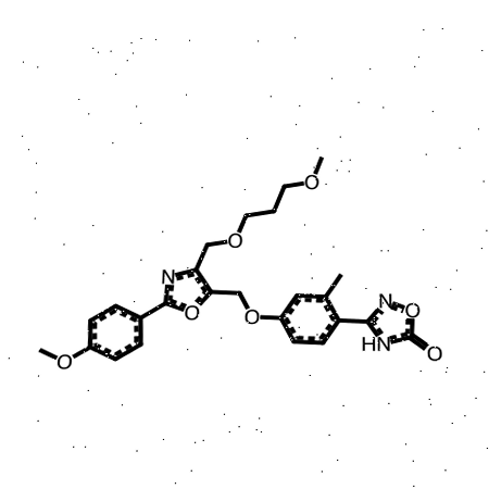 COCCCOCc1nc(-c2ccc(OC)cc2)oc1COc1ccc(-c2noc(=O)[nH]2)c(C)c1